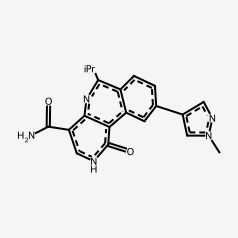 CC(C)c1nc2c(C(N)=O)c[nH]c(=O)c2c2cc(-c3cnn(C)c3)ccc12